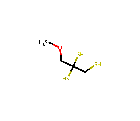 [SiH3]OCC(S)(S)CS